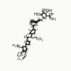 CCOC(C(=O)c1ccc(-c2cc(OC)c(Cl)c(OC)c2)o1)c1ccc(-c2nnc(CO[C@H]3O[C@H](C(=O)O)[C@@H](O)[C@H](O)[C@H]3O)s2)cc1